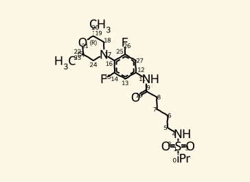 CC(C)S(=O)(=O)NCCCCC(=O)Nc1cc(F)c(N2C[C@@H](C)O[C@@H](C)C2)c(F)c1